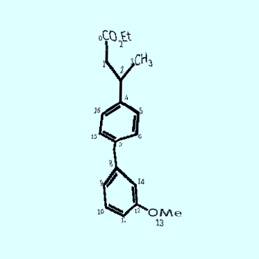 CCOC(=O)CC(C)c1ccc(-c2cccc(OC)c2)cc1